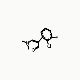 CN(C)C=C(C=O)c1cccc(F)c1Cl